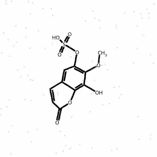 COc1c(OS(=O)(=O)O)cc2ccc(=O)oc2c1O